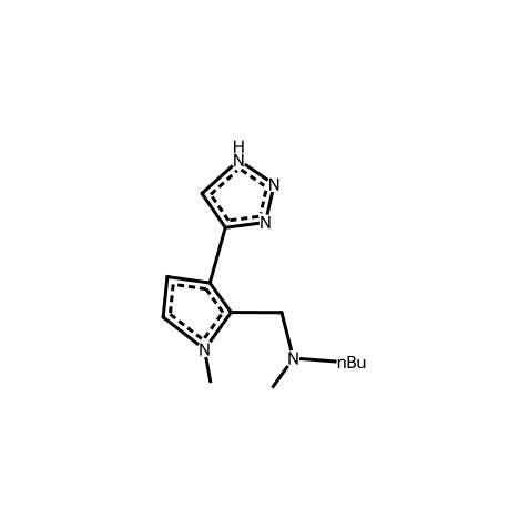 CCCCN(C)Cc1c(-c2c[nH]nn2)ccn1C